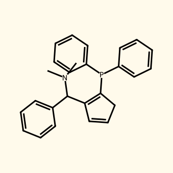 CN(C)C(C1=C(P(c2ccccc2)c2ccccc2)CC=C1)c1ccccc1